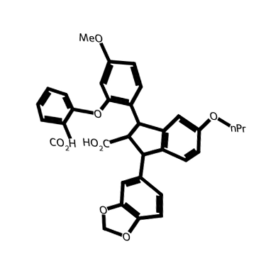 CCCOc1ccc2c(c1)C(c1ccc(OC)cc1Oc1ccccc1C(=O)O)C(C(=O)O)C2c1ccc2c(c1)OCO2